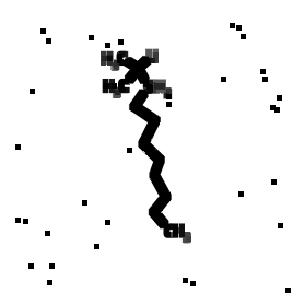 [Li][C](C)(C)[SiH2]CCCCCCCC